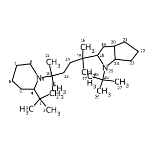 CC(C)(C)C1CCCCN1C(C)(C)CCC(C)(C)C1CC2CCCC2N1C(C)(C)C